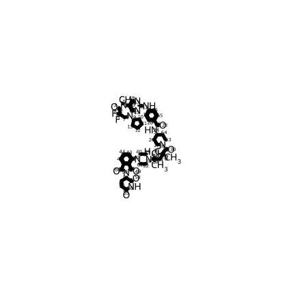 CN1C(=O)C(F)(F)CN(C2CCCC2)c2nc(Nc3ccc(C(=O)NC4CCN(C(=O)C(C)(C)CC(C)(C)N5CCN(c6cccc7c6C(=O)N(C6CCC(=O)NC6=O)C7=O)CC5)CC4)cc3)ncc21